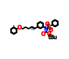 CC(C)(C)OC(=O)N(c1cccc(/C=C/CCCOc2[c]cccc2)c1)S(=O)(=O)c1ccccc1